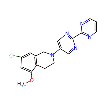 COc1cc(Cl)cc2c1CCN(c1cnc(-c3ncccn3)nc1)C2